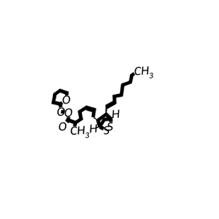 CCCCCC/C=C/[C@@H]1[C@@H](C/C=C\CCC(C)C(=O)OOC2CCCCO2)[C@H]2C[C@@H]1SS2